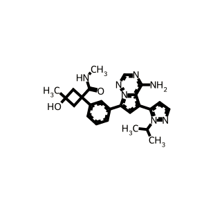 CNC(=O)C1(c2cccc(-c3cc(-c4ccnn4C(C)C)c4c(N)ncnn34)c2)CC(C)(O)C1